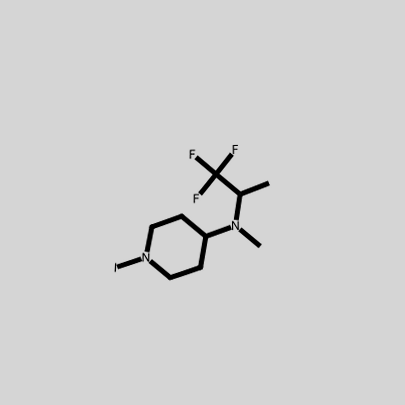 CC(N(C)C1CCN(I)CC1)C(F)(F)F